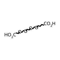 O=C(O)CCCCOCCOCCOCCOCCC(=O)O